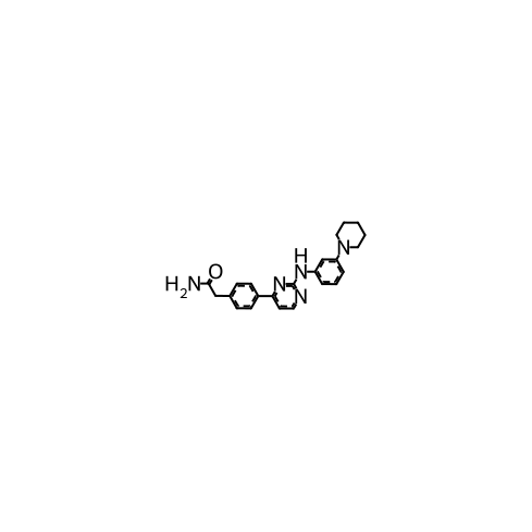 NC(=O)Cc1ccc(-c2ccnc(Nc3cccc(N4CCCCC4)c3)n2)cc1